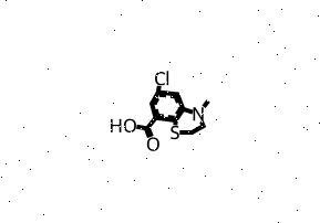 CN1CCSc2c(C(=O)O)cc(Cl)cc21